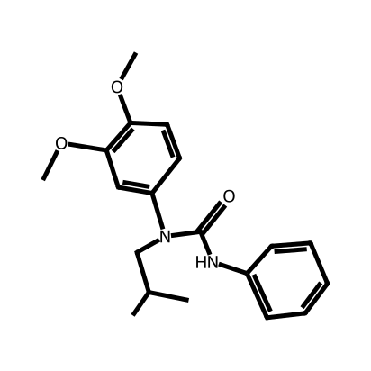 COc1ccc(N(CC(C)C)C(=O)Nc2ccccc2)cc1OC